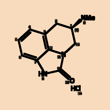 CN[C@@H]1Cc2cccc3[nH]c(=O)n(c23)C1.Cl